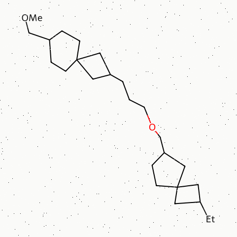 CCC1CC2(CCC(COCCCC3CC4(CCC(COC)CC4)C3)C2)C1